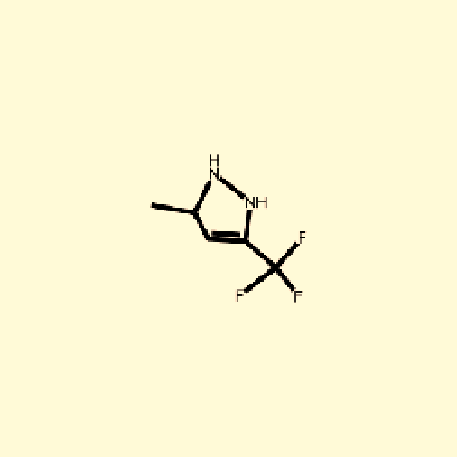 CC1C=C(C(F)(F)F)NN1